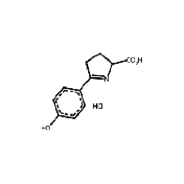 Cl.O=C(O)C1CCC(c2ccc(O)cc2)=N1